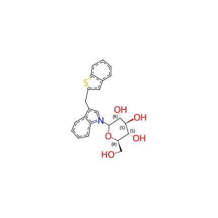 OC[C@H]1OC(n2cc(Cc3cc4ccccc4s3)c3ccccc32)[C@H](O)[C@@H](O)[C@@H]1O